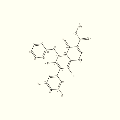 CCCOC(=O)c1c[nH]c2c(F)c(-c3cc(C)nc(C)c3)c(F)c(Sc3ccccc3)c2c1=O